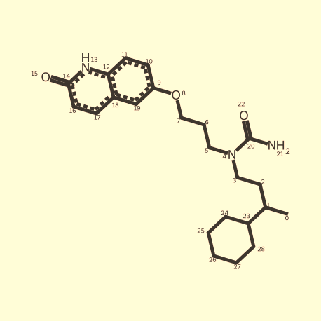 CC(CCN(CCCOc1ccc2[nH]c(=O)ccc2c1)C(N)=O)C1CCCCC1